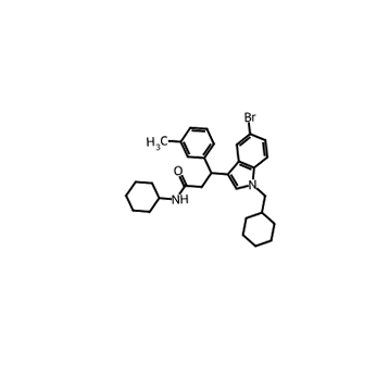 Cc1cccc(C(CC(=O)NC2CCCCC2)c2cn(CC3CCCCC3)c3ccc(Br)cc23)c1